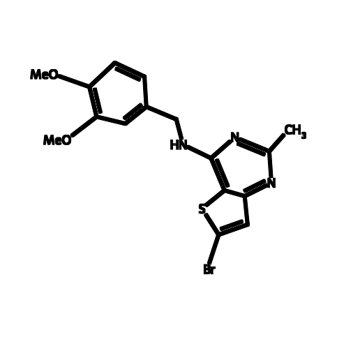 COc1ccc(CNc2nc(C)nc3cc(Br)sc23)cc1OC